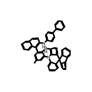 Cc1cc(-c2c(Nc3ccc(-c4ccccc4)cc3)ccc3ccccc23)c2c(c1)N1c3ccccc3C3(c4ccccc4-c4ccccc43)c3cccc(c31)B2